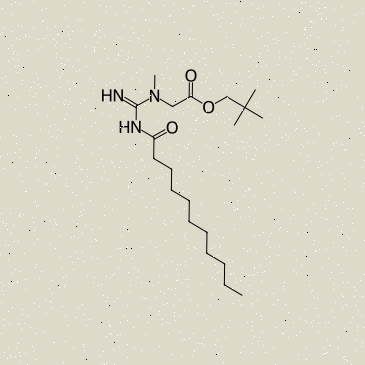 CCCCCCCCCCC(=O)NC(=N)N(C)CC(=O)OCC(C)(C)C